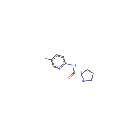 O=C(Nc1ccc(F)cn1)[C@@H]1CCCN1